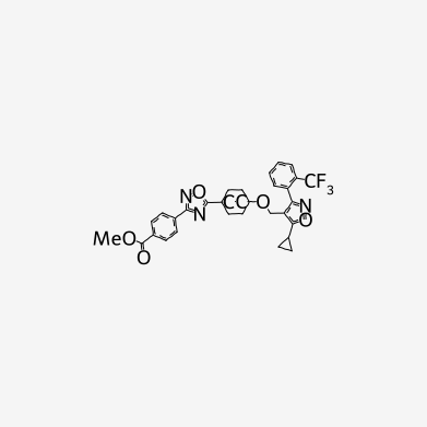 COC(=O)c1ccc(-c2noc(C34CCC(OCc5c(-c6ccccc6C(F)(F)F)noc5C5CC5)(CC3)CC4)n2)cc1